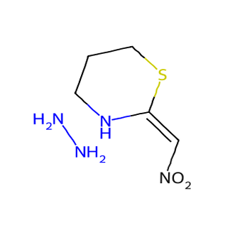 NN.O=[N+]([O-])C=C1NCCCS1